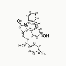 O=C1CC(CCC(O)c2ccc(F)cc2)C(c2ccc(O)cc2O)N1c1ccccc1